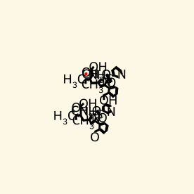 CC(C)(C)C(Cc1cc(-c2ccccc2C=O)n(S(=O)(=O)c2cccnc2)c1)NC(=O)O.CC(C)(C)C(Cc1cc(-c2ccccc2CO)n(S(=O)(=O)c2cccnc2)c1)NC(=O)O